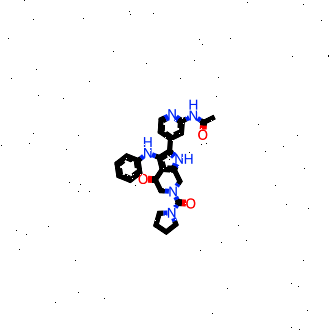 CC(=O)Nc1cc(-c2[nH]c3c(c2Nc2ccccc2)C(=O)CN(C(=O)N2CCCC2)C3)ccn1